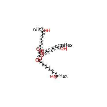 CCCCCCC(O)CCCCCCCCCCC(=O)O[CH]C(COC(=O)CCCCCCCCCCC(O)CCCCCC)OC(=O)CCCCCCCCCCC(O)CCCCCC